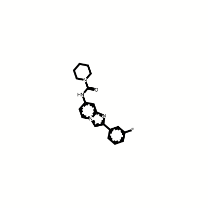 O=C(Nc1ccn2cc(-c3cccc(F)c3)nc2c1)N1CCCCC1